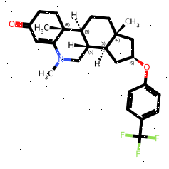 CN1C[C@H]2[C@@H]3C[C@H](Oc4ccc(C(F)(F)F)cc4)C[C@@]3(C)CC[C@@H]2[C@@]2(C)CCC(=O)C=C12